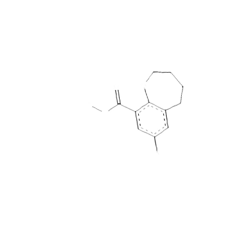 COC(=O)c1cc(Br)cc2c1OCCCC2